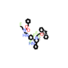 C[C@@H]1Cc2c([nH]c3ccccc23)[C@@H](C2C(F)=CC(NCCN(CCCF)C(=O)OCc3ccccc3)=CC2F)N1CC(F)(F)CO[Si](C1C=CC=CC1)(C1C=CC=CC1)C(C)(C)C